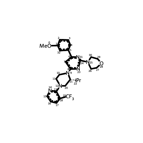 COc1cccc(-c2cc(N3CCN(c4ncccc4C(F)(F)F)C[C@H]3C(C)C)nc(N3CCOCC3)n2)c1